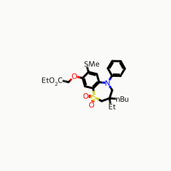 CCCCC1(CC)CN(c2ccccc2)c2cc(SC)c(OCC(=O)OCC)cc2S(=O)(=O)C1